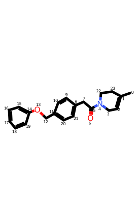 CC1=CCN(C(=O)Cc2ccc(COc3ccccc3)cc2)CC1